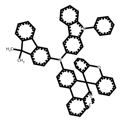 CC1(C)c2ccccc2-c2cc(N(c3ccc4c(c3)C3(c5ccccc5Oc5ccccc53)c3cccc5cccc-4c35)c3ccc4c(c3)c3ccccc3n4-c3ccccc3)ccc21